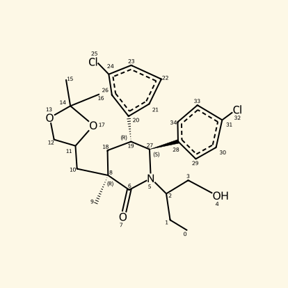 CCC(CO)N1C(=O)[C@@](C)(CC2COC(C)(C)O2)C[C@H](c2cccc(Cl)c2)[C@H]1c1ccc(Cl)cc1